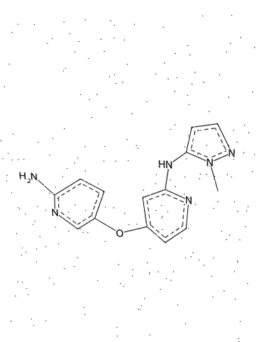 Cn1nccc1Nc1cc(Oc2ccc(N)nc2)ccn1